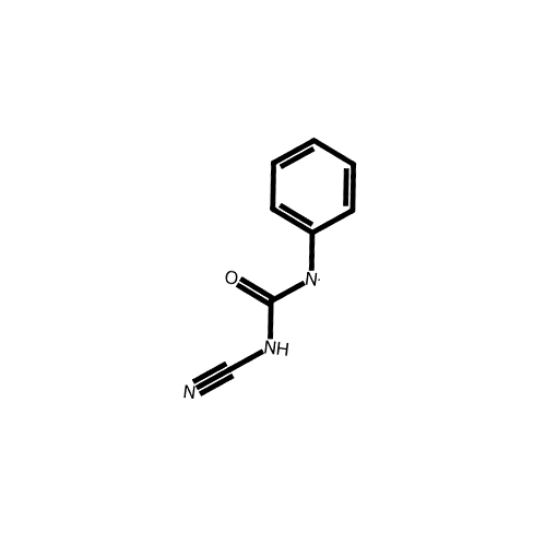 N#CNC(=O)[N]c1ccccc1